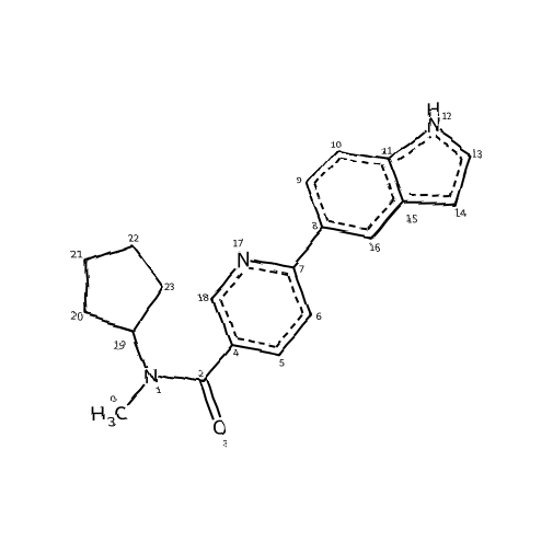 CN(C(=O)c1ccc(-c2ccc3[nH]ccc3c2)nc1)C1CCCC1